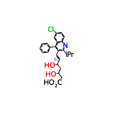 CC(C)c1nc2ccc(Cl)cc2c(-c2ccccc2)c1/C=C/C(O)CC(O)CC(=O)O